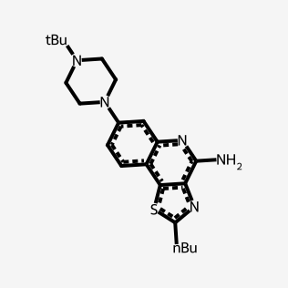 CCCCc1nc2c(N)nc3cc(N4CCN(C(C)(C)C)CC4)ccc3c2s1